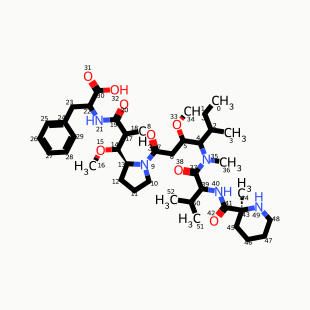 CCC(C)C(C(CC(=O)N1CCC[C@H]1C(OC)C(C)C(=O)NC(Cc1ccccc1)C(=O)O)OC)N(C)C(=O)C(NC(=O)[C@]1(C)CCCCN1)C(C)C